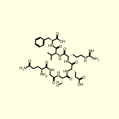 CC(C)[C@H](NC(=O)[C@H](CCCNC(=N)N)NC(=O)[C@H](CCC(=O)O)NC(=O)[C@H](CO)NC(=O)[C@H](C)NC(=O)[C@@H](N)CCC(N)=O)C(=O)N[C@@H](Cc1ccccc1)C(=O)O